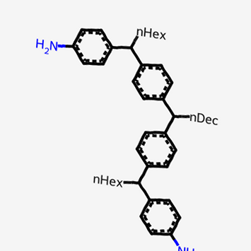 CCCCCCCCCCC(c1ccc(C(CCCCCC)c2ccc(N)cc2)cc1)c1ccc(C(CCCCCC)c2ccc(N)cc2)cc1